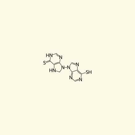 S=c1[nH]cnc2c1NCN2n1cnc2c(S)ncnc21